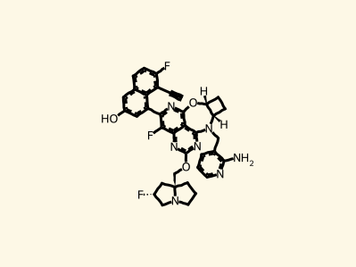 C#Cc1c(F)ccc2cc(O)cc(-c3nc4c5c(nc(OC[C@@]67CCCN6C[C@H](F)C7)nc5c3F)N(Cc3cccnc3N)[C@H]3CC[C@H]3O4)c12